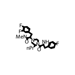 CCCC1CN(C(Cc2ccc(F)c(F)c2)C(=O)NC)CCN1C(=O)C(N)Cc1ccc(F)cc1